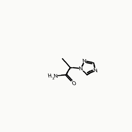 CC(C(N)=O)n1cncn1